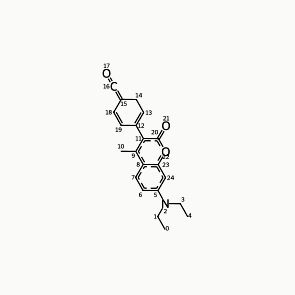 CCN(CC)c1ccc2c(C)c(C3=CCC(=C=O)C=C3)c(=O)oc2c1